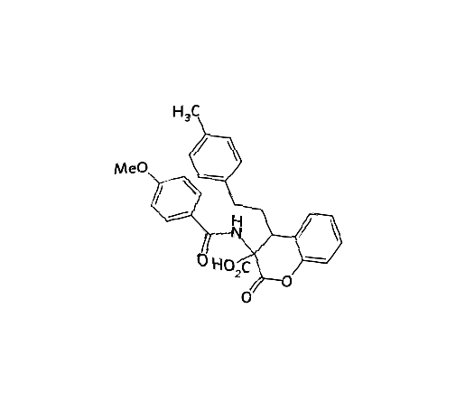 COc1ccc(C(=O)NC2(C(=O)O)C(=O)Oc3ccccc3C2CCc2ccc(C)cc2)cc1